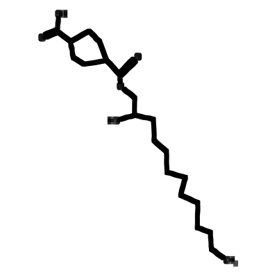 CCCCCCCCCCCC(O)COC(=O)C1CCC(C(=O)O)CC1